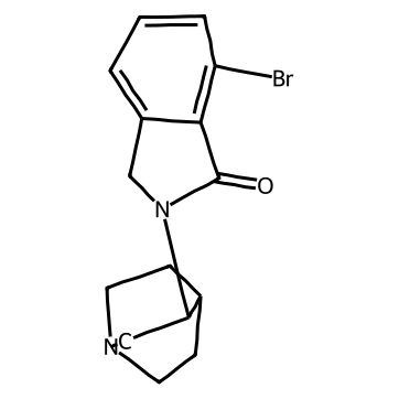 O=C1c2c(Br)cccc2CN1C1CN2CCC1CC2